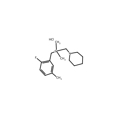 Cc1ccc(F)c(C[Si](C)(C)CN2CCCCC2)c1.Cl